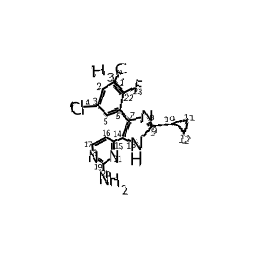 Cc1cc(Cl)cc(-c2nc(C3CC3)[nH]c2-c2ccnc(N)n2)c1F